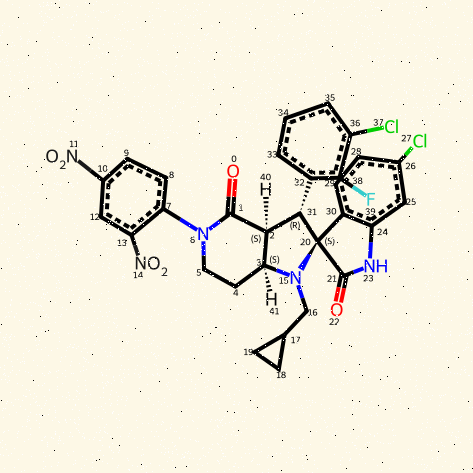 O=C1[C@@H]2[C@H](CCN1c1ccc([N+](=O)[O-])cc1[N+](=O)[O-])N(CC1CC1)[C@@]1(C(=O)Nc3cc(Cl)ccc31)[C@H]2c1cccc(Cl)c1F